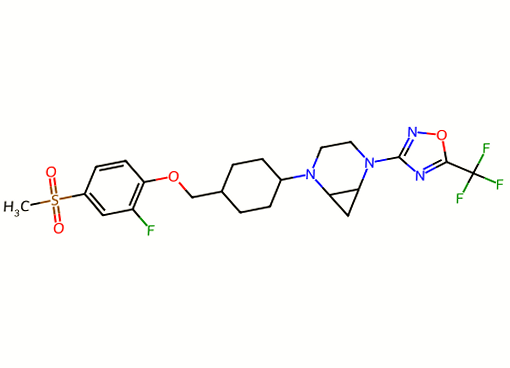 CS(=O)(=O)c1ccc(OCC2CCC(N3CCN(c4noc(C(F)(F)F)n4)C4CC43)CC2)c(F)c1